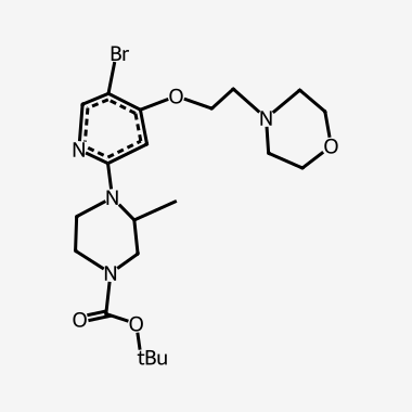 CC1CN(C(=O)OC(C)(C)C)CCN1c1cc(OCCN2CCOCC2)c(Br)cn1